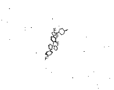 CC1CCC(C(F)(F)Oc2ccc(C(=O)Oc3ccc(F)cc3)c(F)c2)CC1